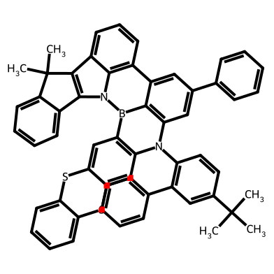 CC(C)(C)c1ccc(N2c3cc4c(cc3B3c5c(cc(-c6ccccc6)cc52)-c2cccc5c6c(n3c25)-c2ccccc2C6(C)C)Sc2ccccc2S4)c(-c2ccccc2)c1